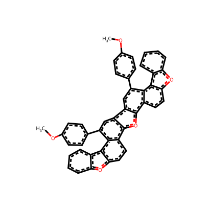 COc1ccc(-c2cc3c4cc(-c5ccc(OC)cc5)c5c(ccc6oc7ccccc7c65)c4oc3c3ccc4oc5ccccc5c4c23)cc1